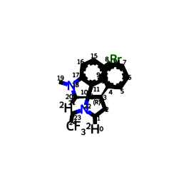 [2H]C1C[C@H](c2ccccc2)[C@@]2(c3cc(Br)ccc3N(C)C2[2H])N1CC(F)(F)F